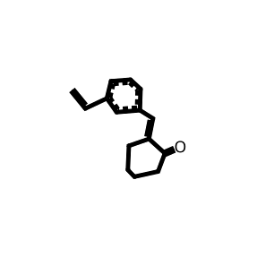 C=Cc1cccc(C=C2CCCCC2=O)c1